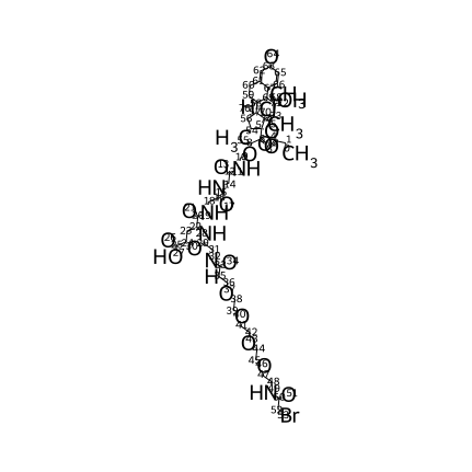 CCC(=O)O[C@]1(C(=O)COCNC(=O)CNC(=O)CNC(=O)[C@H](CCC(=O)O)NC(=O)CNC(=O)CCOCCOCCOCCOCCNC(=O)CBr)[C@@H](C)CC2[C@@H]3CCC4=CC(=O)C=C[C@]4(C)[C@@]3(Cl)[C@@H](O)C[C@@]21C